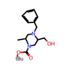 CC1CN(Cc2ccccc2)C(CO)CN1C(=O)OC(C)(C)C